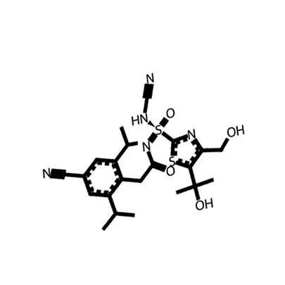 CC(C)c1cc(C#N)cc(C(C)C)c1CC(=O)N=[S@@](=O)(NC#N)c1nc(CO)c(C(C)(C)O)s1